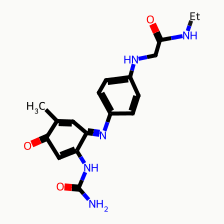 CCNC(=O)CNc1ccc(N=C2C=C(C)C(=O)C=C2NC(N)=O)cc1